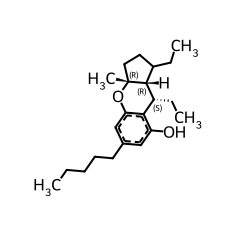 CCCCCc1cc(O)c2c(c1)O[C@]1(C)CCC(CC)[C@@H]1[C@@H]2CC